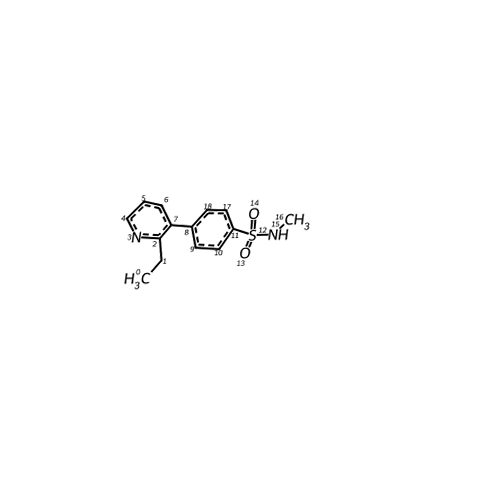 CCc1ncccc1-c1ccc(S(=O)(=O)NC)cc1